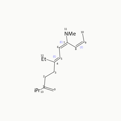 C=C(CC/C(=C/C=C(\C=C/C)NC)CC)C(C)C